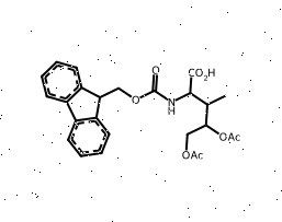 CC(=O)OCC(OC(C)=O)C(C)C(NC(=O)OCC1c2ccccc2-c2ccccc21)C(=O)O